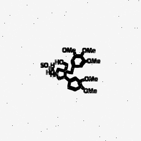 COc1ccc(C2CNCC2(CO)Cc2cc(OC)c(OC)c(OC)c2)cc1OC.O=S(=O)(O)O